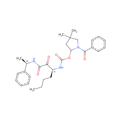 CCCC[C@H](NC(=O)OC1CC(C)(C)CN1C(=O)c1ccccc1)C(=O)C(=O)N[C@H](C)c1ccccc1